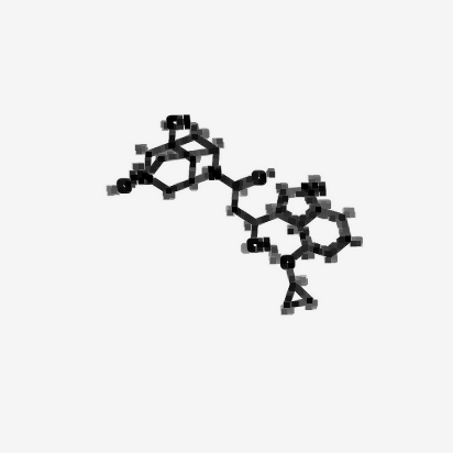 CC(CC(=O)N1C2CC3(C)CC1C[SH](=O)(C2)C3)c1c[nH]c2cccc(OC3CC3)c12